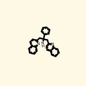 NC(Cc1ccc2ccccc2n1)(Cc1ccc2ccccc2n1)c1ccccc1